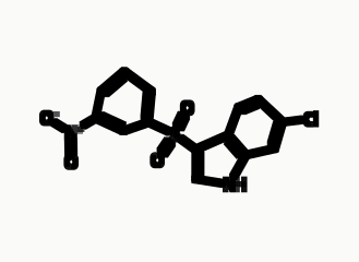 O=[N+]([O-])c1cccc(S(=O)(=O)c2c[nH]c3cc(Cl)ccc23)c1